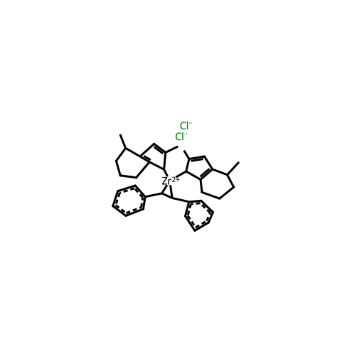 CC1=CC2=C(CCCC2C)[CH]1[Zr+2]1([CH]2C(C)=CC3=C2CCCC3C)[CH](c2ccccc2)[CH]1c1ccccc1.[Cl-].[Cl-]